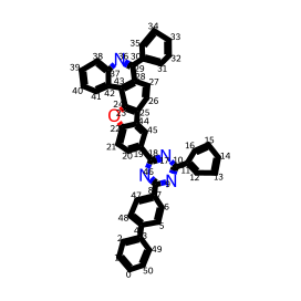 c1ccc(-c2ccc(-c3nc(-c4ccccc4)nc(-c4ccc5oc6c(ccc7c(-c8ccccc8)nc8ccccc8c76)c5c4)n3)cc2)cc1